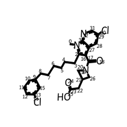 Cn1c(CCCCCCc2cccc(Cl)c2)c(C(=O)N2CC(CC(=O)O)C2)c2cc(Cl)cnc21